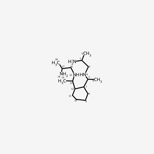 CC(N)CNC(C)C1CCCCC1C(C)NCC(C)N